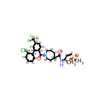 C[C@H](/C=C\S(C)(=O)=O)NC(=O)[C@@]1(F)CCCN(C(=O)c2ccc(C(F)(F)F)cc2-c2ccccc2Cl)CC1